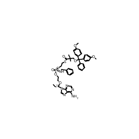 CC[C@H](OCCOP(=O)(NCc1ccccc1)OCCSC(=O)C(C)(C)COC(c1ccccc1)(c1ccc(OC)cc1)c1ccc(OC)cc1)n1cnc2c(N)ncnc21